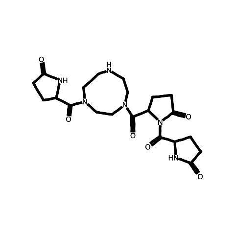 O=C1CCC(C(=O)N2CCNCCN(C(=O)C3CCC(=O)N3C(=O)C3CCC(=O)N3)CC2)N1